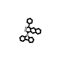 c1ccc(-c2nnc(-n3c4ccccc4c4ccccc43)c3cc4ccccc4cc23)cc1